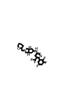 Fc1cc(F)c(F)c(-c2nnc(NC3C[C@@H]4CN(CC5CCCCO5)C[C@@H]4C3)cc2C(F)F)c1